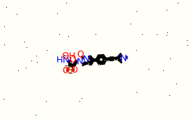 CN1CC(C#Cc2ccc(-c3cc4n(c3)C(=O)N(CC[C@](C)(C(=O)NO)S(C)(=O)=O)C4)cc2)C1